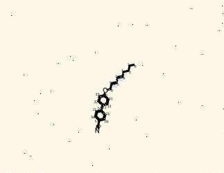 CCCC/C=C/C=C/COc1ccc(-c2ccc(C#N)cc2)cc1